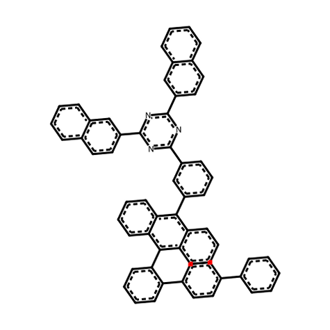 c1ccc(-c2ccc(-c3ccccc3-c3c4ccccc4c(-c4cccc(-c5nc(-c6ccc7ccccc7c6)nc(-c6ccc7ccccc7c6)n5)c4)c4ccccc34)cc2)cc1